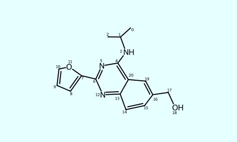 CC(C)Nc1nc(-c2ccco2)nc2ccc(CO)cc12